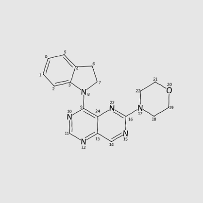 c1ccc2c(c1)CCN2c1ncnc2cnc(N3CCOCC3)nc12